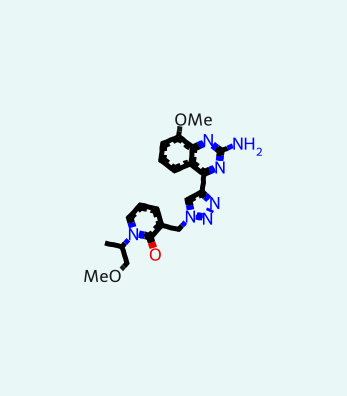 COCC(C)n1cccc(Cn2cc(-c3nc(N)nc4c(OC)cccc34)nn2)c1=O